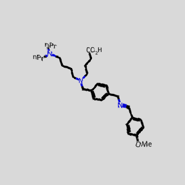 CCCN(CCC)CCCCN(CCCC(=O)O)Cc1ccc(CN=Cc2ccc(OC)cc2)cc1